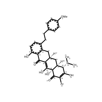 COc1ccc(CCc2ccc(O)c3c2C[C@H]2C[C@H]4[C@H](N(C)C)C(O)=C(C(C)=O)C(=O)[C@@]4(O)C(O)=C2C3=O)cc1